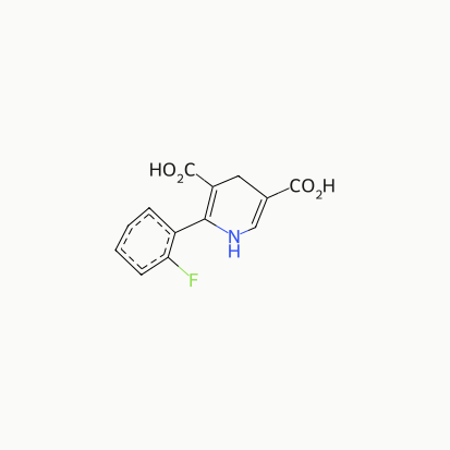 O=C(O)C1=CNC(c2ccccc2F)=C(C(=O)O)C1